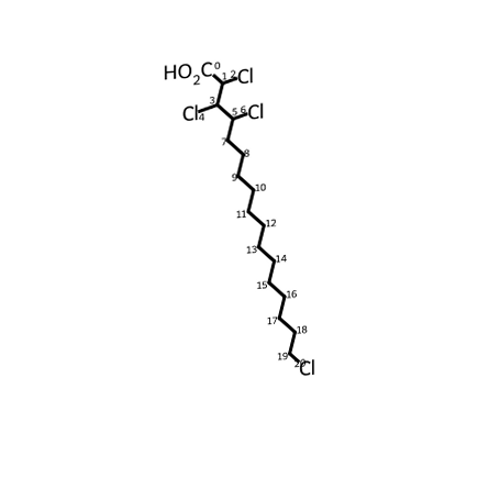 O=C(O)C(Cl)C(Cl)C(Cl)CCCCCCCCCCCCCCl